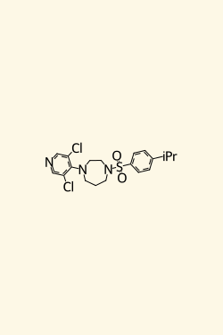 CC(C)c1ccc(S(=O)(=O)N2CCCN(c3c(Cl)cncc3Cl)CC2)cc1